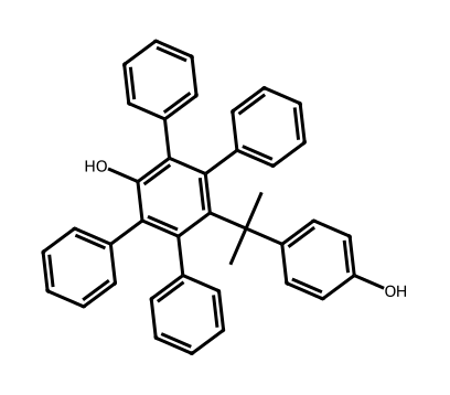 CC(C)(c1ccc(O)cc1)c1c(-c2ccccc2)c(-c2ccccc2)c(O)c(-c2ccccc2)c1-c1ccccc1